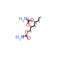 CCC(CCCOC(N)=O)OC(N)=O